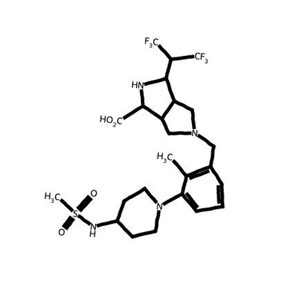 Cc1c(CN2CC3C(C(=O)O)NC(C(C(F)(F)F)C(F)(F)F)C3C2)cccc1N1CCC(NS(C)(=O)=O)CC1